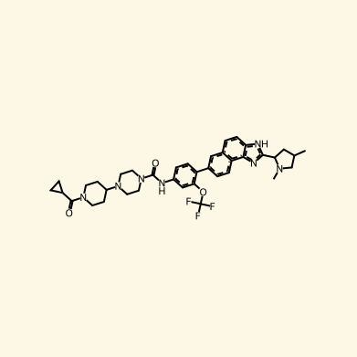 CC1CC(c2nc3c(ccc4cc(-c5ccc(NC(=O)N6CCN(C7CCN(C(=O)C8CC8)CC7)CC6)cc5OC(F)(F)F)ccc43)[nH]2)N(C)C1